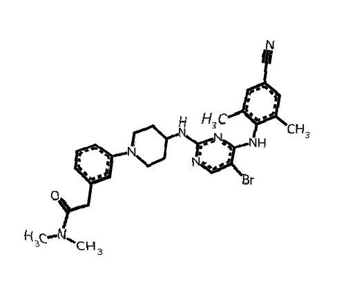 Cc1cc(C#N)cc(C)c1Nc1nc(NC2CCN(c3cccc(CC(=O)N(C)C)c3)CC2)ncc1Br